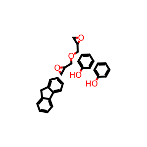 C(OCC1CO1)C1CO1.Oc1ccccc1.Oc1ccccc1.c1ccc2c(c1)Cc1ccccc1-2